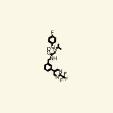 CC(C)N(CC(=O)NCc1cccc(-c2cnc(C(F)(F)F)nc2)c1)[S+]([O-])c1ccc(F)cc1